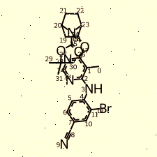 Cc1c(Nc2ccc(C#N)cc2Br)ncnc1O[C@H]1CC2CCC1N2C(=O)OC(C)(C)C